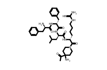 CC(=O)C1(N)CCN(C(=O)[C@@H](CCCCNC(=N)N)NC(=O)[C@@H](CC(C)C)NC(=O)[C@@H](Cc2ccccc2)NC(=O)[C@H](N)Cc2ccccc2)CC1